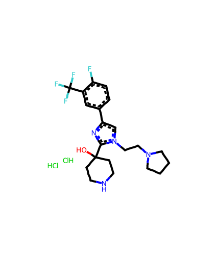 Cl.Cl.OC1(c2nc(-c3ccc(F)c(C(F)(F)F)c3)cn2CCN2CCCC2)CCNCC1